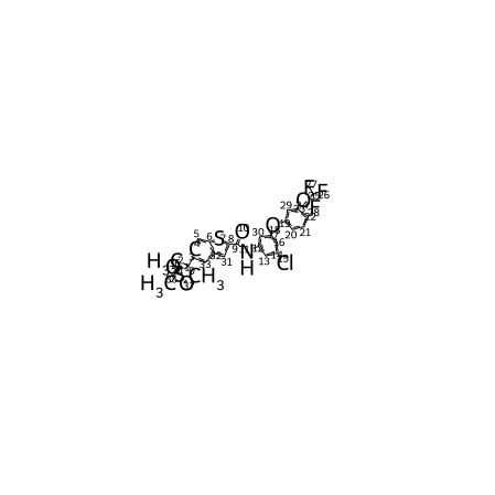 CC(C)(c1ccc2sc(C(=O)Nc3cc(Cl)cc(Oc4cccc(OC(F)(F)F)c4)c3)cc2c1)S(C)(=O)=O